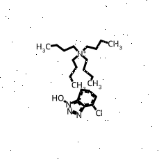 CCCC[N+](CCCC)(CCCC)CCCC.On1nnc2c(Cl)cccc21